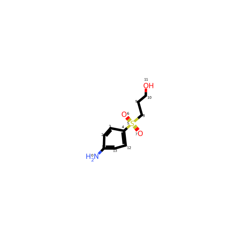 Nc1ccc(S(=O)(=O)CCCO)cc1